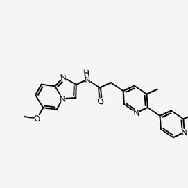 COc1ccc2nc(NC(=O)Cc3cnc(-c4ccnc(C)c4)c(C)c3)cn2c1